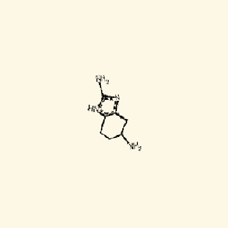 Nc1nc2c([nH]1)CCC(N)C2